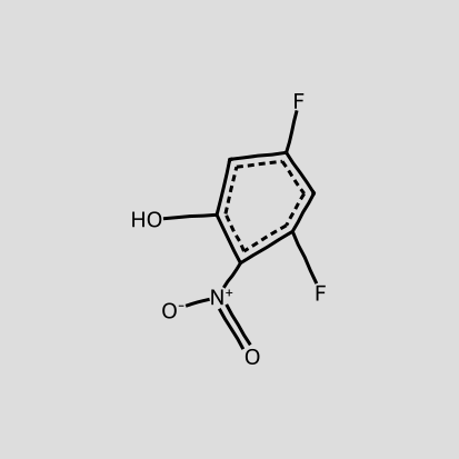 O=[N+]([O-])c1c(O)cc(F)cc1F